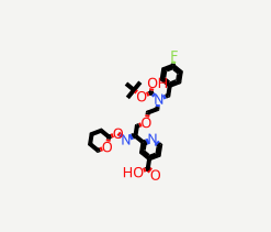 CC(C)(C)OC(O)N(CCOC/C(=N\OC1CCCCO1)c1cc(C(=O)O)ccn1)Cc1ccc(F)cc1